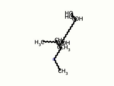 CCCCCCCC/C=C\CCCCCCCC(C)OC(COC(C)CCCCCCCCC)COC(O)CCCCCCCC=CCCCCCCCC(O)OCC(O)CO